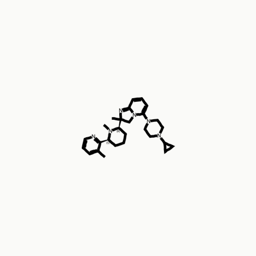 Cc1cccnc1[C@@H]1CCC[C@H](C2(C)CN3C(N4CCN(C5CC5)CC4)=CC=CC3=N2)N1C